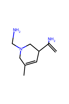 C=C(N)C1C=C(C)CN(CN)C1